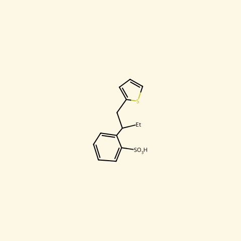 CCC(Cc1cccs1)c1ccccc1S(=O)(=O)O